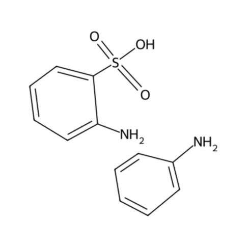 Nc1ccccc1.Nc1ccccc1S(=O)(=O)O